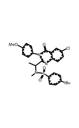 COc1ccc(-n2c(C(C)N(C)S(=O)(=O)c3ccc(C(C)(C)C)cc3)nc3ccc(Cl)cc3c2=O)cc1